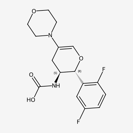 O=C(O)N[C@H]1CC(N2CCOCC2)=CO[C@@H]1c1cc(F)ccc1F